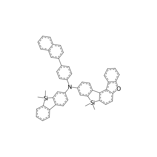 C[Si]1(C)c2ccccc2-c2ccc(N(c3ccc(-c4ccc5ccccc5c4)cc3)c3ccc4c(c3)[Si](C)(C)c3ccc5oc6ccccc6c5c3-4)cc21